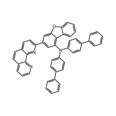 c1ccc(-c2ccc(N(c3ccc(-c4ccccc4)cc3)c3cc(-c4ccc5ccc6cccnc6c5n4)cc4oc5ccccc5c34)cc2)cc1